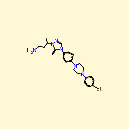 C=C1N(c2ccc(N3CCN(c4ccc(CC)cc4)CC3)cc2)C=NN1C(C)CCN